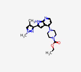 CCOC(=O)N1CCN(c2ccnc3[nH]c(-c4nn(C)cc4C)cc23)CC1